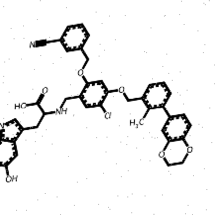 Cc1c(COc2cc(OCc3cccc(C#N)c3)c(CNC(Cc3c[nH]c4ccc(O)cc34)C(=O)O)cc2Cl)cccc1-c1ccc2c(c1)OCCO2